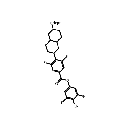 CCCCCCCC1CCC2CC(c3c(F)cc(C(=O)Oc4cc(F)c(C#N)c(F)c4)cc3F)CCC2C1